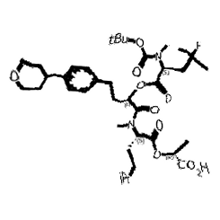 CC(C)CC[C@@H](C(=O)O[C@H](C)C(=O)O)N(C)C(=O)[C@@H](CCc1ccc(C2CCOCC2)cc1)OC(=O)[C@H](CC(C)(C)F)N(C)C(=O)OC(C)(C)C